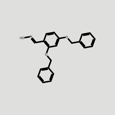 ON=Cc1ccc(OCc2ccccc2)cc1OCc1ccccc1